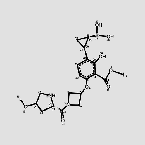 O=C(OI)c1c(OC2CN(C(=O)[C@@H]3CC(OI)CN3)C2)ccc([C@H]2C[C@H]2B(O)O)c1O